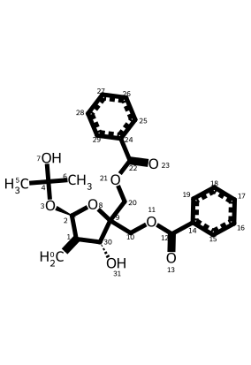 C=C1[C@@H](OC(C)(C)O)OC(COC(=O)c2ccccc2)(COC(=O)c2ccccc2)[C@@H]1O